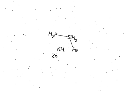 P[SiH2][Fe].[KH].[Zn]